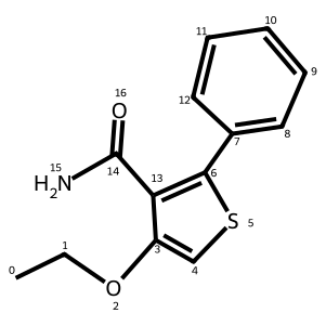 CCOc1csc(-c2ccccc2)c1C(N)=O